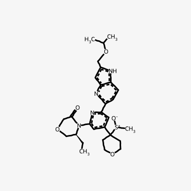 CC[C@H]1COCC(=O)N1c1cc(C2([S+](C)[O-])CCOCC2)cc(-c2ccc3[nH]c(COC(C)C)cc3n2)n1